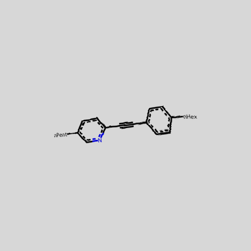 CCCCCCc1ccc(C#Cc2ccc(CCCCC)cn2)cc1